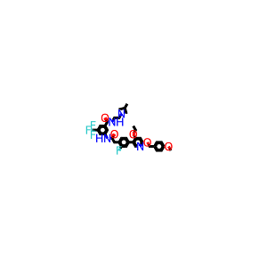 CCOc1cc(OCc2ccc(OC)cc2)ncc1-c1ccc(CC(=O)Nc2cc(C(=O)NCCN3CC(C)C3)cc(C(F)(F)F)c2)c(F)c1